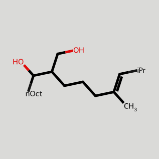 CCCCCCCCC(O)C(CO)CCCC(C)=CC(C)C